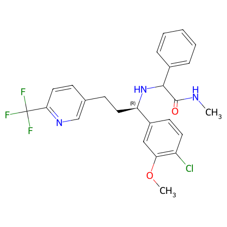 CNC(=O)C(N[C@H](CCc1ccc(C(F)(F)F)nc1)c1ccc(Cl)c(OC)c1)c1ccccc1